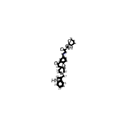 O=C(/C=C/c1ccc2c(c1)C(=O)CC1(CCN(Cc3c[nH]c4ccccc34)CC1)O2)NOC1CCCCO1